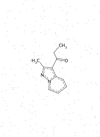 CCC(=O)c1c(C)nn2ccccc12